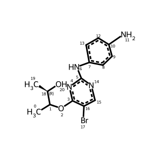 CC(Oc1nc(Nc2ccc(N)cc2)ncc1Br)[C@@H](C)O